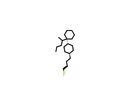 CCCC(C)C1([C@H]2CC[C@H](CC/C=C/F)CC2)CCCCC1